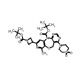 Cc1nc(C2CN(C(=O)OC(C)(C)C)C2)cc2c1OCc1c(N3CCS(=O)(=O)CC3)ncnc1N2C(=O)OC(C)(C)C